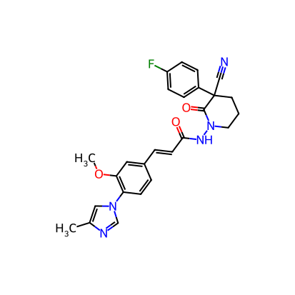 COc1cc(C=CC(=O)NN2CCCC(C#N)(c3ccc(F)cc3)C2=O)ccc1-n1cnc(C)c1